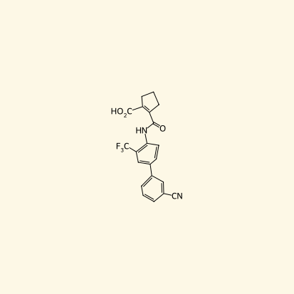 N#Cc1cccc(-c2ccc(NC(=O)C3=C(C(=O)O)CCC3)c(C(F)(F)F)c2)c1